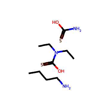 CCCCN.CCN(CC)C(O)=S.NC(O)=S